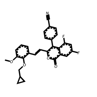 COc1cccc(C=Cc2oc(=O)c3cc(F)cc(F)c3c2-c2ccc(C#N)cc2)c1OCC1CC1